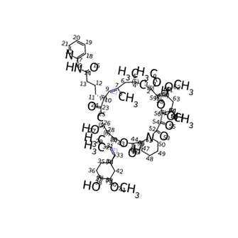 CO[C@H]1C[C@@H](C)C/C(C)=C/[C@@H](CCCC(=O)Nc2ccccn2)C(=O)C[C@H](O)[C@@H](C)[C@@H](/C(C)=C/[C@@H]2CC[C@@H](O)[C@H](OC)C2)OC(=O)[C@@H]2CCCCN2C(=O)C(=O)[C@]2(O)O[C@H]1[C@@H](OC)C[C@H]2C